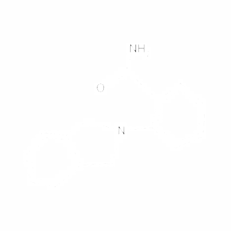 NC(=O)c1ccccc1N1Cc2ccccc2C1